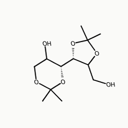 CC1(C)OCC(O)[C@H]([C@@H]2OC(C)(C)OC2CO)O1